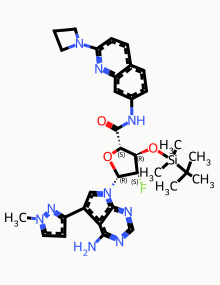 Cn1ccc(-c2cn([C@@H]3O[C@H](C(=O)Nc4ccc5ccc(N6CCC6)nc5c4)[C@@H](O[Si](C)(C)C(C)(C)C)[C@@H]3F)c3ncnc(N)c23)n1